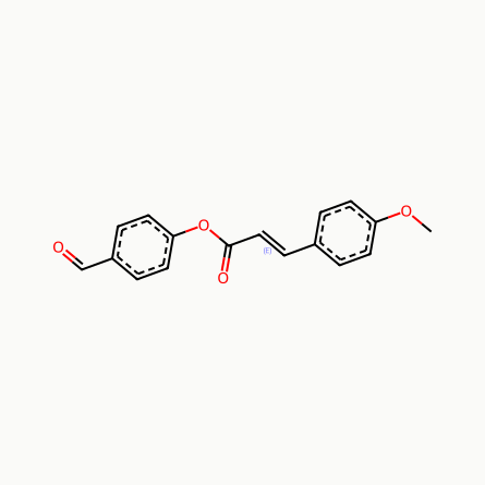 COc1ccc(/C=C/C(=O)Oc2ccc(C=O)cc2)cc1